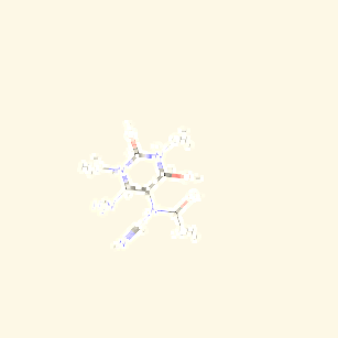 CC(=O)N(C#N)c1c(N)n(C)c(=O)n(C)c1=O